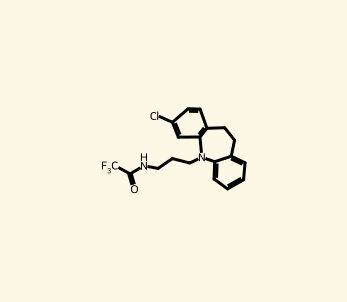 O=C(NCCCN1c2ccccc2CCc2ccc(Cl)cc21)C(F)(F)F